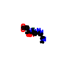 C=C(O)[C@@H](NC(=O)c1ccc(-c2cc(-c3cnn(C(C)C)c3)cnc2N)cc1F)c1cccc(S(C)(=O)=O)c1